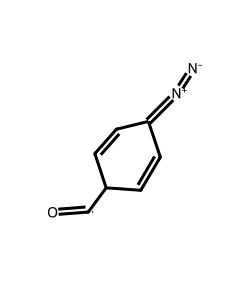 [N-]=[N+]=C1C=CC([C]=O)C=C1